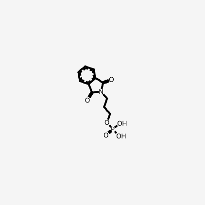 O=C1c2ccccc2C(=O)N1CCCOP(=O)(O)O